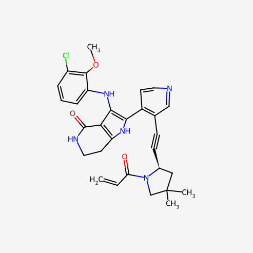 C=CC(=O)N1CC(C)(C)C[C@@H]1C#Cc1cnccc1-c1[nH]c2c(c1Nc1cccc(Cl)c1OC)C(=O)NCC2